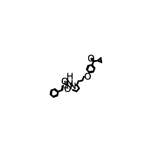 O=C(c1ccc(OCCCC2CCCN2NS(=O)(=O)/C=C/c2ccccc2)cc1)C1CC1